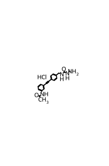 CC(=O)Nc1cccc(C#Cc2ccc(CNC(=O)NN)cc2)c1.Cl